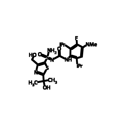 CNc1cc(C(C)C)c(NC(=O)N=S(N)(=O)c2sc(C(C)(C)O)nc2CO)c(C(C)C)c1F